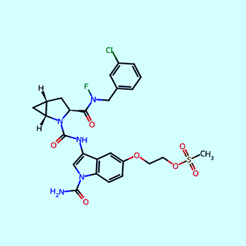 CS(=O)(=O)OCCOc1ccc2c(c1)c(NC(=O)N1[C@@H]3C[C@@H]3C[C@H]1C(=O)N(F)Cc1cccc(Cl)c1)cn2C(N)=O